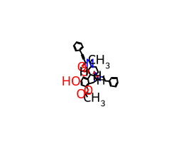 CC(=O)Oc1cc(O)c2c3c1C[C@@H]1[C@@H]4CC[C@H](N(C)C(=O)C#Cc5ccccc5)[C@H](O2)[C@]34CCN1CCc1ccccc1